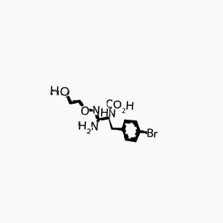 N/C(=N\OCCO)[C@H](Cc1ccc(Br)cc1)NC(=O)O